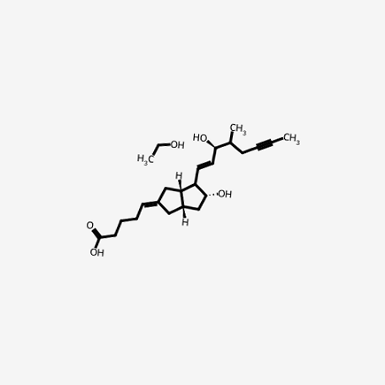 CC#CCC(C)[C@H](O)/C=C/C1[C@H](O)C[C@@H]2C/C(=C\CCCC(=O)O)C[C@H]12.CCO